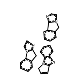 C1=Cc2nc3ccccc3n2C1.c1ccc2c(c1)Cc1nccn1-2.c1ccc2c(c1)Cn1ccnc1-2